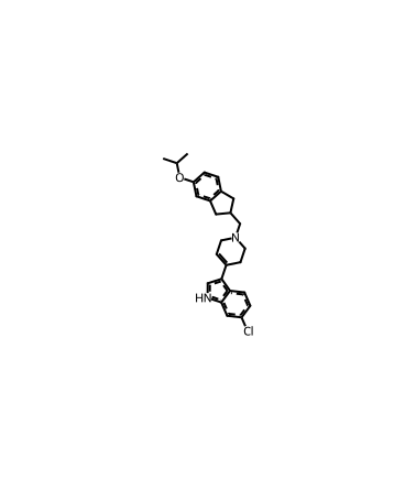 CC(C)Oc1ccc2c(c1)CC(CN1CC=C(c3c[nH]c4cc(Cl)ccc34)CC1)C2